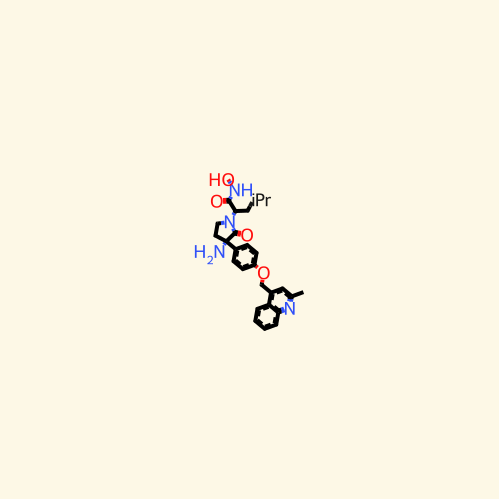 Cc1cc(COc2ccc(C3(N)CCN(C(CC(C)C)C(=O)NO)C3=O)cc2)c2ccccc2n1